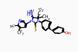 CC1(C)C(=N)N(c2cnc(C#N)c(C(F)(F)F)c2)C(=S)N1c1ccc(-c2ccc(O)cc2)cc1